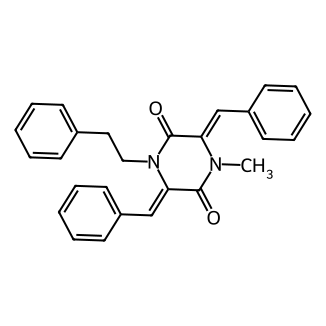 Cn1c(=O)c(=Cc2ccccc2)n(CCc2ccccc2)c(=O)c1=Cc1ccccc1